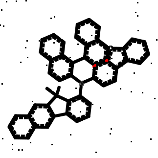 CC1(C)c2cc3ccccc3cc2-c2cccc(N(c3ccc4c(c3)oc3ccccc34)c3ccc4ccccc4c3-c3cccc4ccccc34)c21